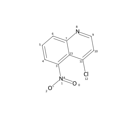 O=[N+]([O-])c1cccc2nccc(Cl)c12